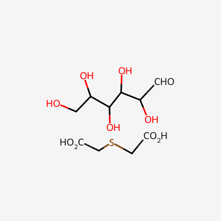 O=C(O)CSCC(=O)O.O=CC(O)C(O)C(O)C(O)CO